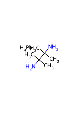 CC(C)(N)C(C)(C)N.[PbH4]